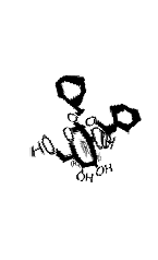 O=C(OC1(OCc2ccccc2)O[C@H](CO)[C@@H](O)[C@H](O)[C@H]1O)c1ccccc1